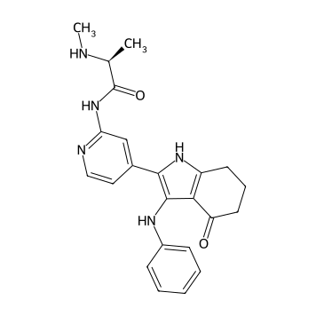 CN[C@@H](C)C(=O)Nc1cc(-c2[nH]c3c(c2Nc2ccccc2)C(=O)CCC3)ccn1